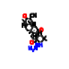 CC1(C)CC[C@]2(C(=O)NN)CC[C@]3(C)[C@H](C(=O)C[C@@H]4[C@@]5(C)C=C(C#N)C(=O)C(C)(C)[C@@H]5CC[C@]43C)[C@@H]2C1